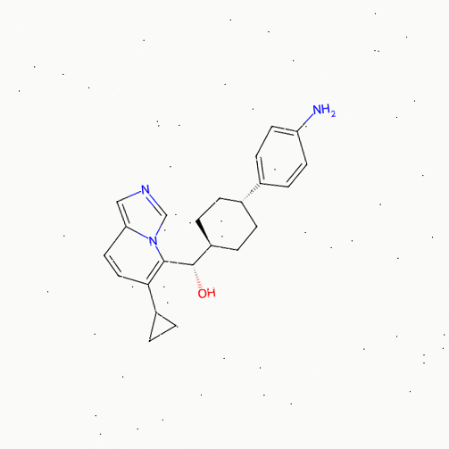 Nc1ccc([C@H]2CC[C@H]([C@H](O)c3c(C4CC4)ccc4cncn34)CC2)cc1